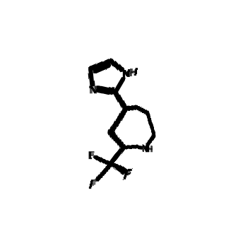 FC(F)(F)C1CC(c2ncc[nH]2)CCN1